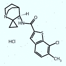 Cc1ccc2cc(C(=O)N[C@@H]3C4CCN(CC4)C34CC4)sc2c1Cl.Cl